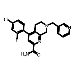 NC(=O)c1cc(-c2ccc(Cl)cc2F)c2c(n1)CN(Cc1cccnc1)CC2